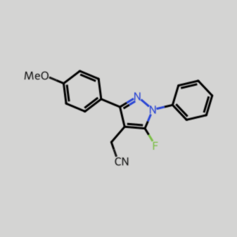 COc1ccc(-c2nn(-c3ccccc3)c(F)c2CC#N)cc1